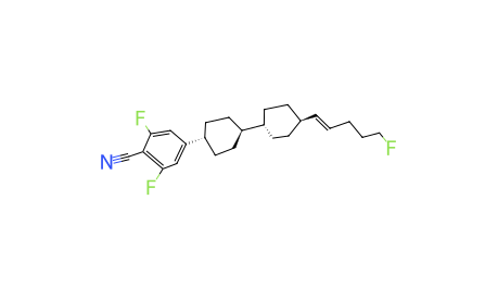 N#Cc1c(F)cc([C@H]2CC[C@H]([C@H]3CC[C@H](C=CCCCF)CC3)CC2)cc1F